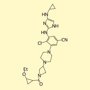 CCOC1CC1C(=O)N1CC(N2CCN(c3cc(C#N)cc(Nc4nc(NC5CC5)c[nH]4)c3Cl)CC2)C1